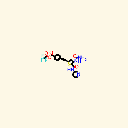 NC(=O)Nc1cc(C#Cc2ccc(C(=O)OC(=O)C(F)(F)F)cc2)sc1C(=O)N[C@H]1CCCNC1